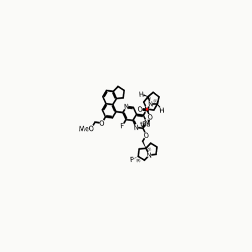 COCOc1cc(-c2ncc3c(N4C[C@H]5CC[C@@H](C4)N5C(=O)OC(C)(C)C)nc(OC[C@@]45CCCN4C[C@H](F)C5)nc3c2F)c2c3c(ccc2c1)CCC3